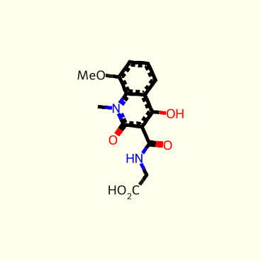 COc1cccc2c(O)c(C(=O)NCC(=O)O)c(=O)n(C)c12